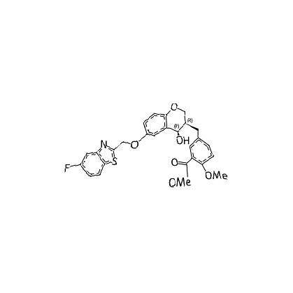 COC(=O)c1cc(C[C@@H]2COc3ccc(OCc4nc5cc(F)ccc5s4)cc3[C@@H]2O)ccc1OC